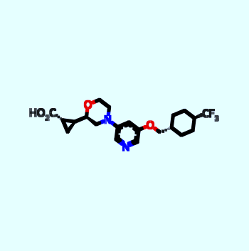 O=C(O)[C@H]1C[C@@H]1[C@@H]1CN(c2cncc(OC[C@H]3CC[C@H](C(F)(F)F)CC3)c2)CCO1